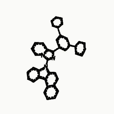 c1ccc(-c2cc(-c3ccccc3)cc(-c3nc(-n4c5ccccc5c5c6ccccc6ccc54)n4ccccc34)c2)cc1